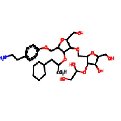 NCCc1ccc(OCC2OC(CO)C(OCC3OC(CO)C(O)C3OC(O)CO)C2OC(CC2CCCCC2)C(=O)O)cc1